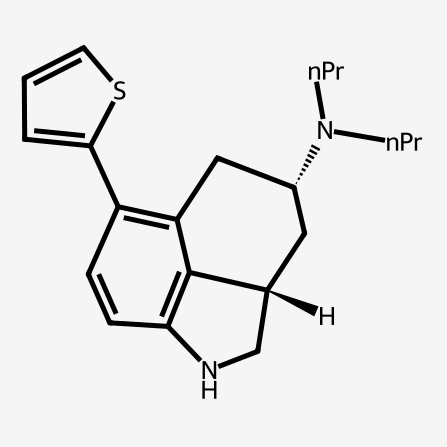 CCCN(CCC)[C@H]1Cc2c(-c3cccs3)ccc3c2[C@@H](CN3)C1